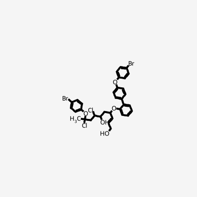 CC(Cl)(CC(Cl)C(O)CC(C=CCO)Oc1ccccc1-c1ccc(Oc2ccc(Br)cc2)cc1)Oc1ccc(Br)cc1